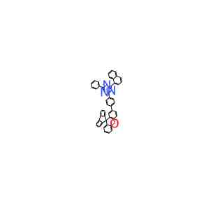 c1ccc(-c2nc(-c3ccc(-c4ccc5c(c4)C4(c6ccccc6O5)c5ccccc5-c5ccccc54)cc3)nc(-c3cccc4ccccc34)n2)cc1